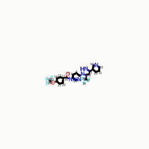 N=C(/C=C(\Nc1ccc(NC(=O)c2ccc(OC(F)(F)F)cc2)cn1)C(F)(F)F)c1cccnc1